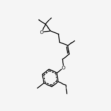 CCc1cc(C)ccc1OCC=C(C)CCC1OC1(C)C